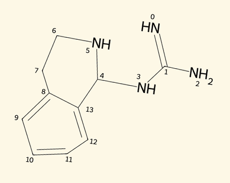 N=C(N)NC1NCCc2ccccc21